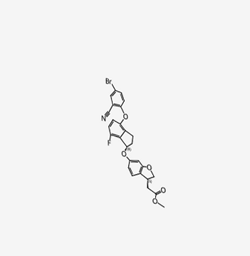 COC(=O)C[C@@H]1COc2cc(O[C@@H]3CCc4c(Oc5ccc(Br)cc5C#N)ccc(F)c43)ccc21